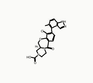 Cc1ccc2[nH]ncc2c1-c1ccc2c(c1Cl)OC[C@@H]1CN(C(=O)O)CCN1C2=O